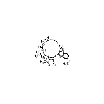 CC[C@@H]1[C@@H]2CN(C(=O)[C@H](C(C)(C)C)NC(=O)O[C@@H]3C[C@H]3CCCOCC(F)(F)c3nc4ccc(OC)cc4nc3O2)[C@@H]1C(C)=O